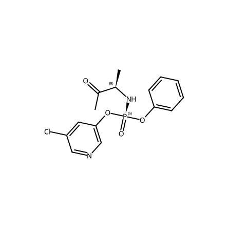 CC(=O)[C@@H](C)N[P@](=O)(Oc1ccccc1)Oc1cncc(Cl)c1